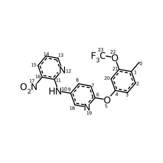 Cc1ccc(Oc2ccc(Nc3ncccc3[N+](=O)[O-])cn2)cc1OC(F)(F)F